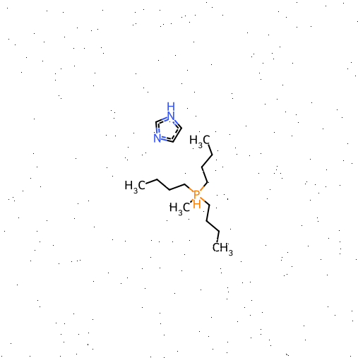 CCCC[PH](C)(CCCC)CCCC.c1c[nH]cn1